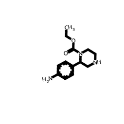 CCOC(=O)N1CCNCC1c1ccc(N)cc1